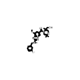 COc1cc(C(=O)N2CC(C)(C)OCC2(C)CO)cn2nc(NCc3cccc(Cl)c3)nc12